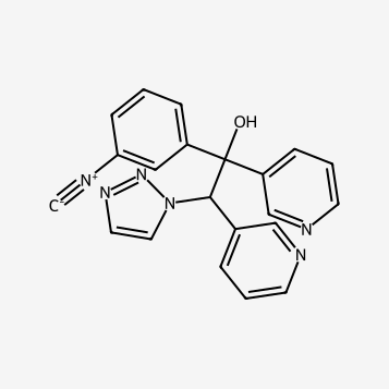 [C-]#[N+]c1cccc(C(O)(c2cccnc2)C(c2cccnc2)n2ccnn2)c1